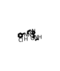 CC(C)NC(=O)c1cnn2ccc(NCc3cccc(Cl)c3)nc12